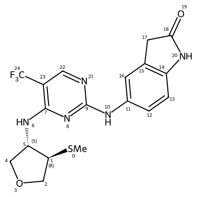 CS[C@H]1COC[C@@H]1Nc1nc(Nc2ccc3c(c2)CC(=O)N3)ncc1C(F)(F)F